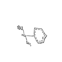 CC(C)(C)[SiH]([SiH3])c1ccccc1